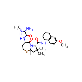 CN[C@@H](N)C(=O)N[C@H]1CCS[C@H]2CC(C)(C)[C@@H](C(=O)N[C@@H]3CCCc4cc(OC)ccc43)N2C1=O